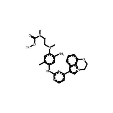 Cc1cc(N(C)CCN(C)C(=O)OC(C)(C)C)c(N)cc1Nc1nccc(-c2cn3c4c(cccc24)OCC3)n1